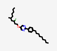 CCCCCCCCCc1ccc(-c2ncc(OCCC(F)CC(C)CCCCC)cn2)cc1